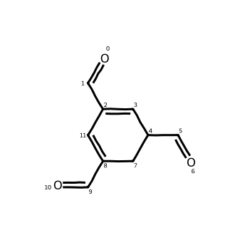 O=CC1=CC(C=O)CC(C=O)=C1